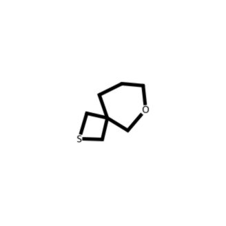 C1COCC2(C1)CSC2